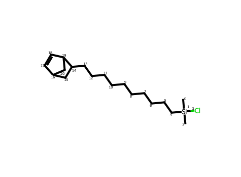 C[Si](C)(Cl)CCCCCCCCCCC1CC2C=CC1C2